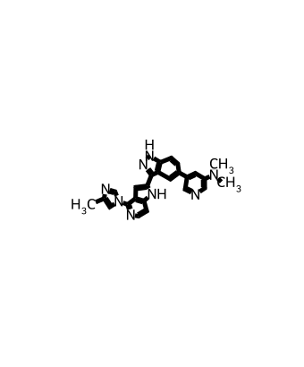 Cc1cn(-c2nccc3[nH]c(-c4n[nH]c5ccc(-c6cncc(N(C)C)c6)cc45)cc23)cn1